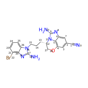 N#Cc1cc2c3c(c1)nc(N)n3[C@@H](CCCn1c(N)nc3c(Br)cccc31)CO2